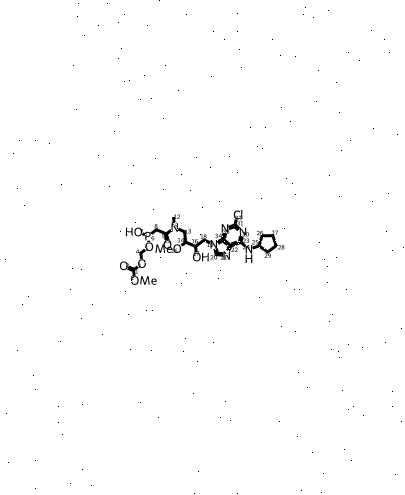 COC(=O)OCOP(O)CC(=O)N(C)CC(OC)C(O)Cn1cnc2c(NC3CCCC3)nc(Cl)nc21